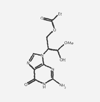 CCC(=O)OCC(C(O)OC)n1cnc2c(=O)[nH]c(N)nc21